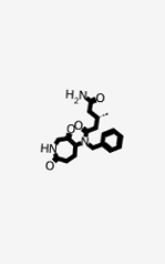 C[C@@H](CC(N)=O)CC(=O)N(Cc1ccccc1)C1CCC(=O)NCC1=O